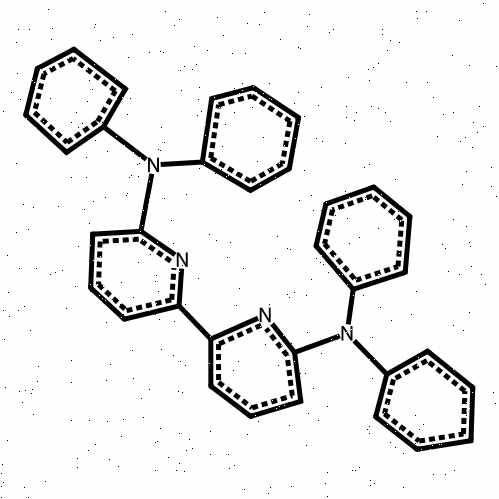 c1ccc(N(c2ccccc2)c2cccc(-c3cccc(N(c4ccccc4)c4ccccc4)n3)n2)cc1